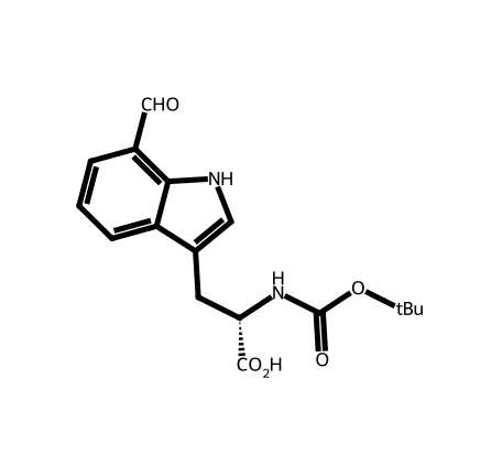 CC(C)(C)OC(=O)N[C@@H](Cc1c[nH]c2c(C=O)cccc12)C(=O)O